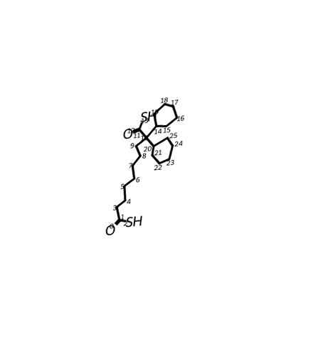 O=C(S)CCCCCCCC(C(=O)S)(C1CCCCC1)C1CCCCC1